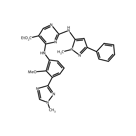 CCOC(=O)c1cnc(Nc2cc(-c3ccccc3)nn2C)nc1Nc1cccc(-c2ncn(C)n2)c1OC